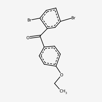 CCOc1ccc(C(=O)c2cc(Br)ccc2Br)cc1